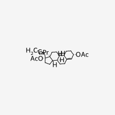 C=C=C[C@]1(OC(C)=O)CC[C@H]2[C@@H]3CCC4=C[C@@H](OC(C)=O)CC[C@@H]4[C@H]3CC[C@@]21CCC